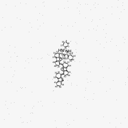 NC(NC(NCc1ccccc1)c1cccc2c1oc1c(-c3cccc4c3oc3c(-c5cccc6c5sc5ccccc56)cccc34)cccc12)c1ccccc1